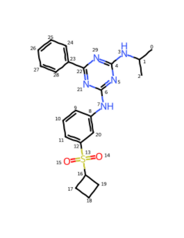 CC(C)Nc1nc(Nc2cccc(S(=O)(=O)C3CCC3)c2)nc(-c2ccccc2)n1